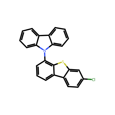 Clc1ccc2c(c1)sc1c(-n3c4ccccc4c4ccccc43)cccc12